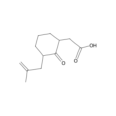 C=C(C)CC1CCCC(CC(=O)O)C1=O